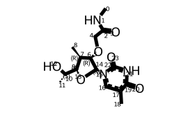 CNC(=O)CO[C@@H]1[C@H](C)[C@@H]([C@H](C)O)O[C@H]1n1cc(C)c(=O)[nH]c1=O